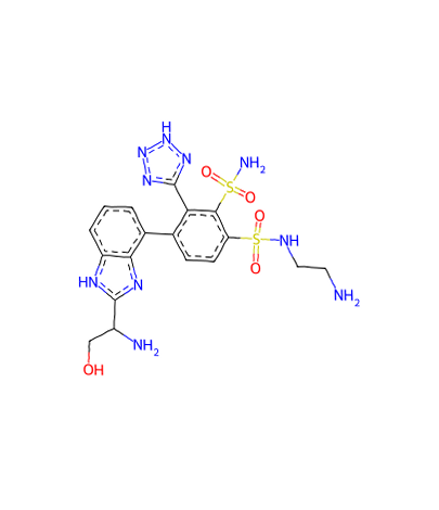 NCCNS(=O)(=O)c1ccc(-c2cccc3[nH]c(C(N)CO)nc23)c(-c2nn[nH]n2)c1S(N)(=O)=O